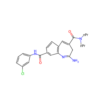 CCCN(CCC)C(=O)C1=Cc2ccc(C(=O)Nc3cccc(Cl)c3)cc2N=C(N)C1